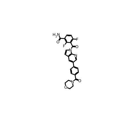 NC(=O)c1ccc(F)c(C(=O)n2ccc3cc(-c4ccc(C(=O)N5CCOCC5)cc4)cnc32)c1F